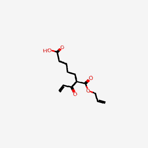 C=CCOC(=O)C(CCCCC(=O)O)C(=O)C=C